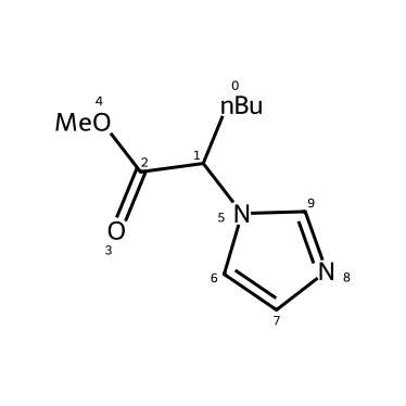 CCCCC(C(=O)OC)n1ccnc1